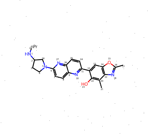 CCCNC1CCN(c2ccc3nc(-c4cc5oc(C)nc5c(C)c4O)ccc3n2)C1